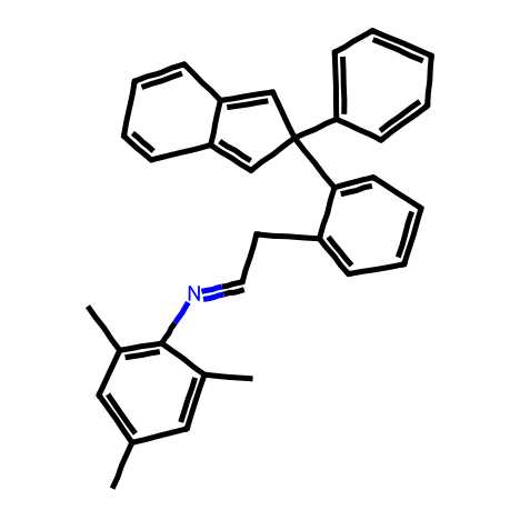 Cc1cc(C)c(N=CCc2ccccc2C2(c3ccccc3)C=c3ccccc3=C2)c(C)c1